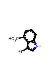 C[CH]c1c[nH]c2cccc(C(=O)O)c12